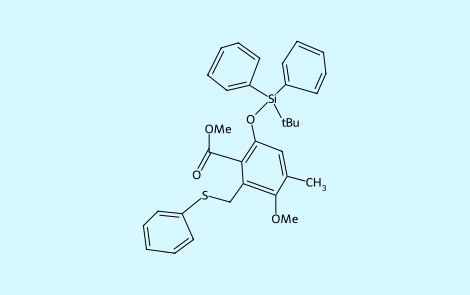 COC(=O)c1c(O[Si](c2ccccc2)(c2ccccc2)C(C)(C)C)cc(C)c(OC)c1CSc1ccccc1